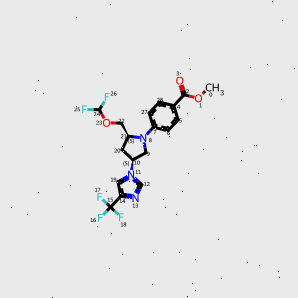 COC(=O)c1ccc(N2C[C@@H](n3cnc(C(F)(F)F)c3)C[C@H]2COC(F)F)cc1